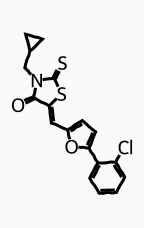 O=C1/C(=C/c2ccc(-c3ccccc3Cl)o2)SC(=S)N1CC1CC1